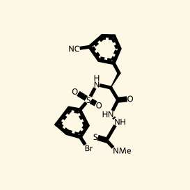 CNC(=S)NNC(=O)[C@H](Cc1cccc(C#N)c1)NS(=O)(=O)c1cccc(Br)c1